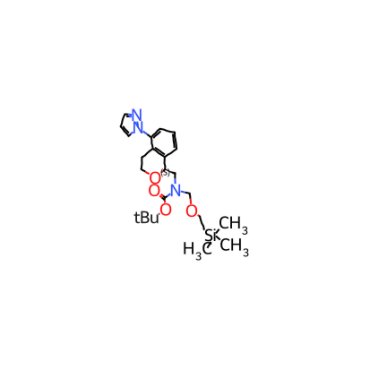 CC(C)(C)OC(=O)N(COCC[Si](C)(C)C)C[C@H]1OCCc2c1cccc2-n1cccn1